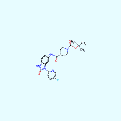 CC(C)(C)OC(=O)N1CCC(C(=O)Nc2ccc3[nH]c(=O)n(-c4ccc(F)cn4)c3c2)CC1